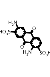 Nc1cc2c(cc1S(=O)(=O)O)C(=O)c1c(ccc(S(=O)(=O)O)c1N)C2=O